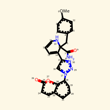 COc1ccc(CC2(C(N)=O)NC=CC=C2c2cn(-c3cccc4ccc(=O)oc34)nn2)cc1